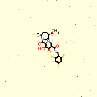 CO[C@H]1CC[C@H](C)N2C[C@H]1n1cc(C(=O)NCc3c(F)cc(F)cc3F)c(=O)c(O)c1C2=O